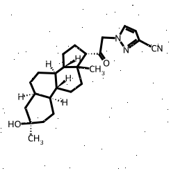 CC12CC[C@H]3[C@@H](CC[C@@H]4C[C@](C)(O)CC[C@@H]43)[C@@H]1CC[C@@H]2C(=O)Cn1ccc(C#N)n1